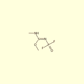 CNS(=NP(=O)(F)F)OC